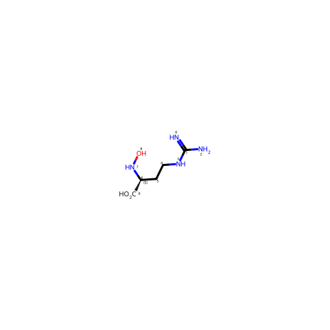 N=C(N)NCC[C@H](NO)C(=O)O